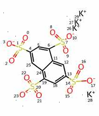 O=S(=O)([O-])c1cc(S(=O)(=O)[O-])c2cc(S(=O)(=O)[O-])cc(S(=O)(=O)[O-])c2c1.[K+].[K+].[K+].[K+]